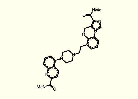 CNC(=O)c1ccc2c(N3CCN(CCc4cccc5c4OCc4c(C(=O)NC)ncn4-5)CC3)cccc2n1